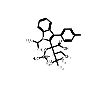 CC[C@@](C)(C(C)(C)C)C(O[SiH](C)C)(C(=O)O)c1c(-c2ccc(F)cc2)c2ccccc2n1C(C)C